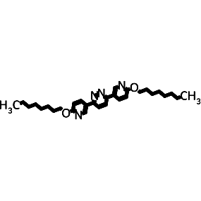 CCCCCCCCOc1ccc(-c2ccc(-c3ccc(OCCCCCCCC)nc3)nn2)cn1